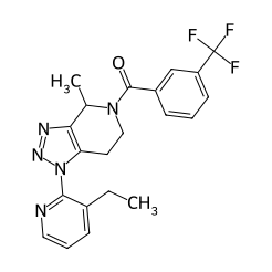 CCc1cccnc1-n1nnc2c1CCN(C(=O)c1cccc(C(F)(F)F)c1)C2C